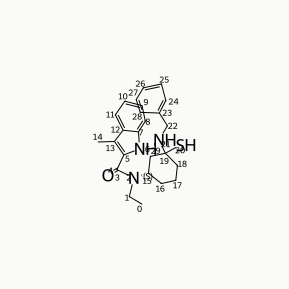 CCN(C(=O)c1[nH]c2ccccc2c1C)[C@H]1CCCC(S)(NCc2ccccc2)C1